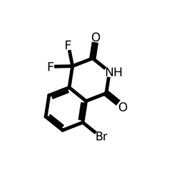 O=C1NC(=O)C(F)(F)c2cccc(Br)c21